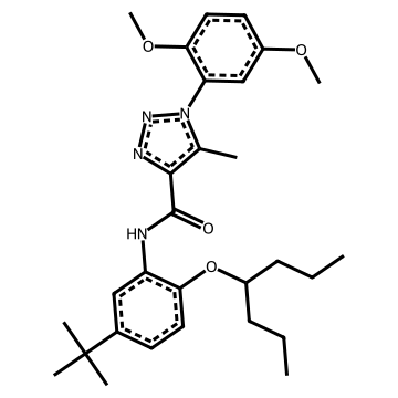 CCCC(CCC)Oc1ccc(C(C)(C)C)cc1NC(=O)c1nnn(-c2cc(OC)ccc2OC)c1C